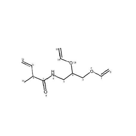 C=COCC(CNC(=O)C(C)C=C)OC=C